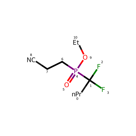 CCCC(F)(F)P(=O)(CCC#N)OCC